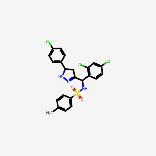 Cc1ccc(S(=O)(=O)NC(C2=NNC(c3ccc(Cl)cc3)C2)c2ccc(Cl)cc2Cl)cc1